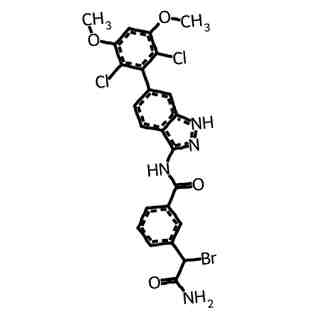 COc1cc(OC)c(Cl)c(-c2ccc3c(NC(=O)c4cccc(C(Br)C(N)=O)c4)n[nH]c3c2)c1Cl